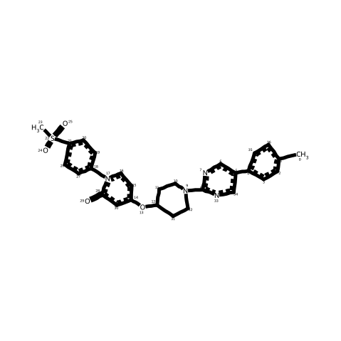 Cc1ccc(-c2cnc(N3CCC(Oc4ccn(-c5ccc(S(C)(=O)=O)cc5)c(=O)c4)CC3)nc2)cc1